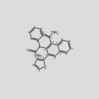 COC(=O)C(c1ccccc1)c1c(-c2ccco2)nc2ccccc2c1C(N)=O